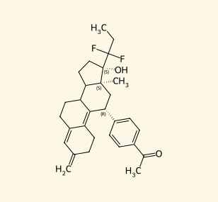 C=C1C=C2CCC3C(=C2CC1)[C@@H](c1ccc(C(C)=O)cc1)C[C@@]1(C)C3CC[C@@]1(O)C(F)(F)CC